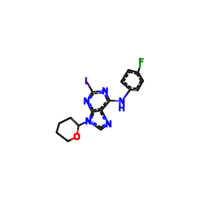 Fc1ccc(Nc2nc(I)nc3c2ncn3C2CCCCO2)cc1